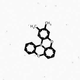 Cc1cc2c(cc1C)B1c3ccccc3Oc3cccc(c31)O2